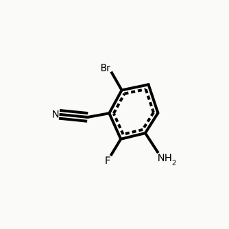 N#Cc1c(Br)ccc(N)c1F